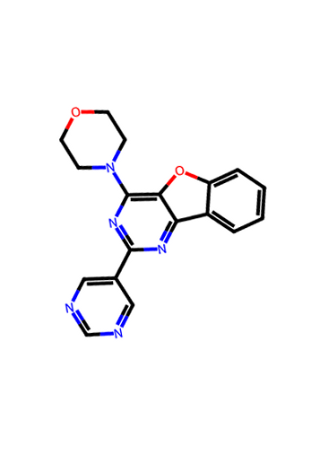 c1ccc2c(c1)oc1c(N3CCOCC3)nc(-c3cncnc3)nc12